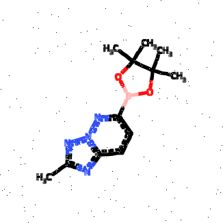 Cc1nc2ccc(B3OC(C)(C)C(C)(C)O3)nn2n1